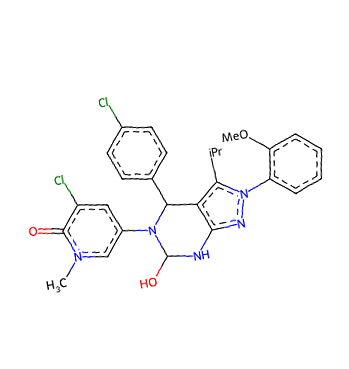 COc1ccccc1-n1nc2c(c1C(C)C)C(c1ccc(Cl)cc1)N(c1cc(Cl)c(=O)n(C)c1)C(O)N2